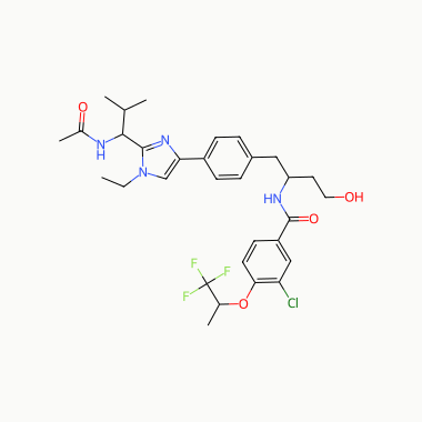 CCn1cc(-c2ccc(CC(CCO)NC(=O)c3ccc(OC(C)C(F)(F)F)c(Cl)c3)cc2)nc1C(NC(C)=O)C(C)C